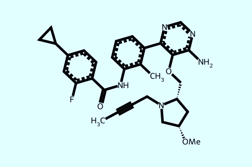 CC#CCN1C[C@@H](OC)C[C@H]1COc1c(N)ncnc1-c1cccc(NC(=O)c2ccc(C3CC3)cc2F)c1C